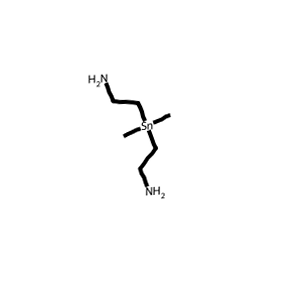 [CH3][Sn]([CH3])([CH2]CN)[CH2]CN